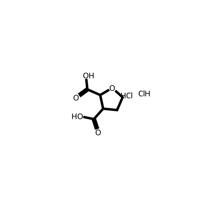 Cl.Cl.O=C(O)C1CCOC1C(=O)O